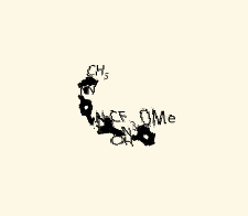 COc1cccc(CNC(=O)c2cn(Cc3ccc(Cn4cc(C)cn4)cc3)nc2C(F)(F)F)c1